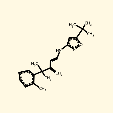 C=C(C=CNc1cc(C(C)(C)C)on1)C(C)(C)c1ccccc1C